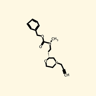 C#CCN1CCO[C@H](CCN(C)C(=O)OCc2ccccc2)C1